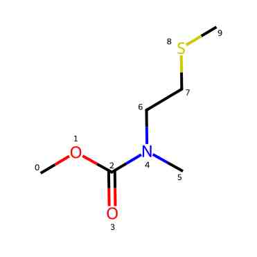 COC(=O)N(C)CCSC